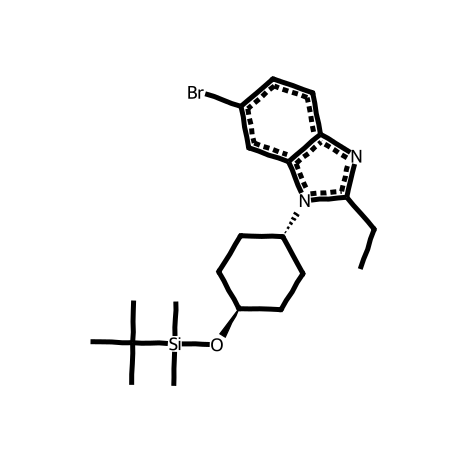 CCc1nc2ccc(Br)cc2n1[C@H]1CC[C@H](O[Si](C)(C)C(C)(C)C)CC1